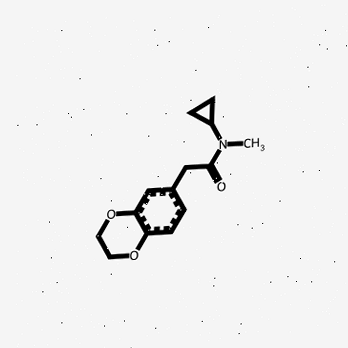 CN(C(=O)Cc1ccc2c(c1)OCCO2)C1CC1